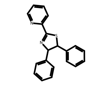 c1ccc(C2N=C(c3ccccn3)SC2c2ccccc2)cc1